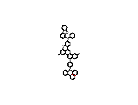 Cc1ccc2c(-c3ccc(N(c4ccccc4)c4ccccc4-c4ccccc4)cc3)cc3c4cc(C)cc5c4c(cc3c2c1)-c1ccc(N(c2ccccc2)c2cccc3c2oc2ccccc23)cc1O5